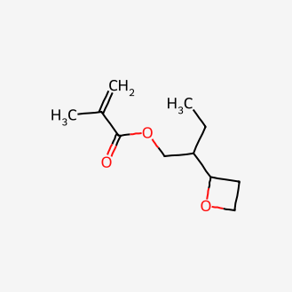 C=C(C)C(=O)OCC(CC)C1CCO1